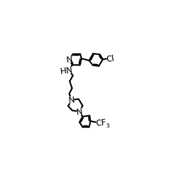 FC(F)(F)c1cccc(N2CCN(CCCCNc3cc(-c4ccc(Cl)cc4)ccn3)CC2)c1